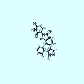 Cc1ccccc1-c1c(-c2ccc3c(c2)CN(C2CCC(=O)NC2=O)C3=O)cnn1C